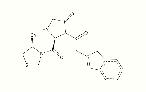 N#C[C@@H]1CSCN1C(=O)[C@H]1NCC(=S)C1C(=O)CC1=Cc2ccccc2C1